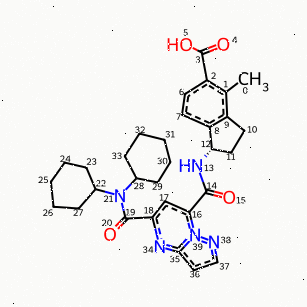 Cc1c(C(=O)O)ccc2c1CC[C@@H]2NC(=O)c1cc(C(=O)N(C2CCCCC2)C2CCCCC2)nc2ccnn12